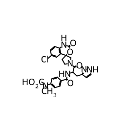 CN(C(=O)O)c1ccc(C(=O)NC(Cc2cc[nH]n2)C(=O)N2CCC3(C2)OC(=O)Nc2ccc(Cl)cc23)cc1